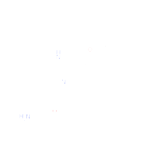 NC(=O)c1cccc2[nH]c(C3CCCC4(CCC4)O3)nc12